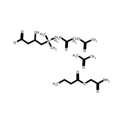 CC(=O)O.CC(C)=O.CC(N)=O.CCCC(=O)OCC(N)=O.C[N+](C)(C)CC(O)CC(=O)[O-]